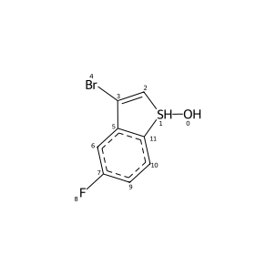 O[SH]1C=C(Br)c2cc(F)ccc21